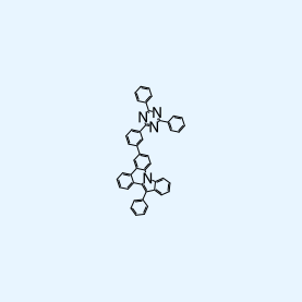 c1ccc(-c2nc(-c3ccccc3)nc(-c3cccc(-c4ccc5c(c4)c4ccccc4c4c(-c6ccccc6)c6ccccc6n54)c3)n2)cc1